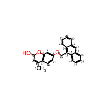 CC1=CC(O)Oc2cc(OCc3c4ccccc4cc4ccccc34)ccc21